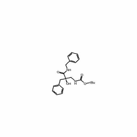 CC(C)(C)OC(=O)NC[C@](O)(Cc1ccccc1)C(=O)NCc1ccccc1